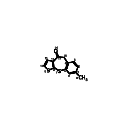 Cc1ccc2c(c1)Sc1sccc1C(=O)C2